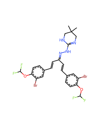 CC1(C)CN=C(NN=C(/C=C/c2ccc(OC(F)F)c(Br)c2)/C=C/c2ccc(OC(F)F)c(Br)c2)NC1